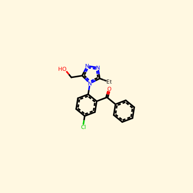 CCc1nnc(CO)n1-c1ccc(Cl)cc1C(=O)c1ccccc1